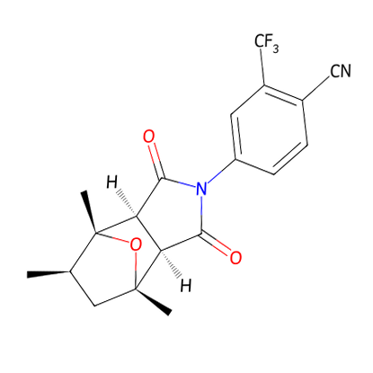 C[C@@H]1C[C@]2(C)O[C@@]1(C)[C@H]1C(=O)N(c3ccc(C#N)c(C(F)(F)F)c3)C(=O)[C@H]12